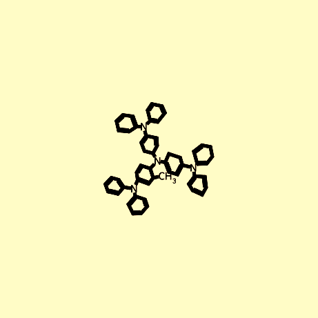 CC1C=C(N(c2ccccc2)c2ccccc2)C=CC1N(C1=CC=C(N(C2=CCCC=C2)c2ccccc2)CC1)C1C=CC(N(c2ccccc2)c2ccccc2)=CC1